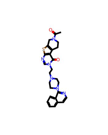 CC(=O)N1CCc2c(sc3ncn(CCN4CCN(c5nccc6ccccc56)CC4)c(=O)c23)C1